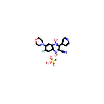 CS(=O)(=O)O.N#Cc1c(-c2ccncc2)[n+]([O-])c2cc(N3CCOCC3)c(F)cc2[n+]1[O-]